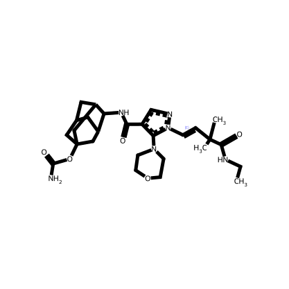 CCNC(=O)C(C)(C)/C=C/n1ncc(C(=O)NC2C3CC4CC2CC(OC(N)=O)(C4)C3)c1N1CCOCC1